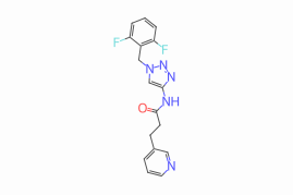 O=C(CCc1cccnc1)Nc1cn(Cc2c(F)cccc2F)nn1